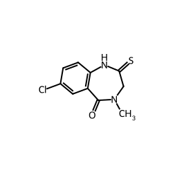 CN1CC(=S)Nc2ccc(Cl)cc2C1=O